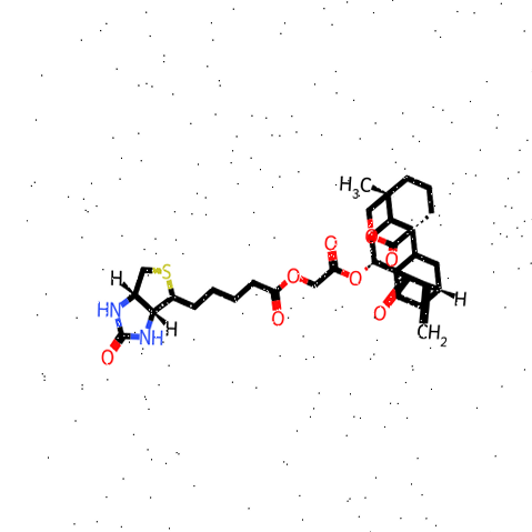 C=C1C(=O)C23CC[C@H]1CC2[C@@]12CCC[C@@](C)(COC1=O)C2C[C@H]3OC(=O)COC(=O)CCCCC1SC[C@H]2NC(=O)N[C@@H]12